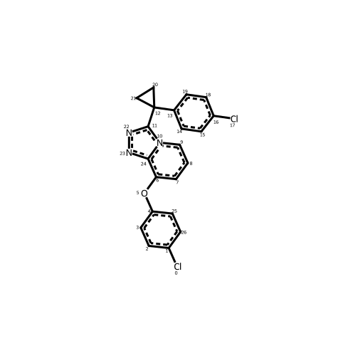 Clc1ccc(Oc2cccn3c(C4(c5ccc(Cl)cc5)CC4)nnc23)cc1